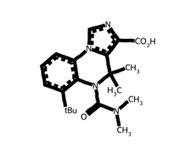 CN(C)C(=O)N1c2c(cccc2C(C)(C)C)-n2cnc(C(=O)O)c2C1(C)C